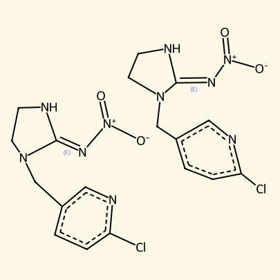 O=[N+]([O-])/N=C1\NCCN1Cc1ccc(Cl)nc1.O=[N+]([O-])/N=C1\NCCN1Cc1ccc(Cl)nc1